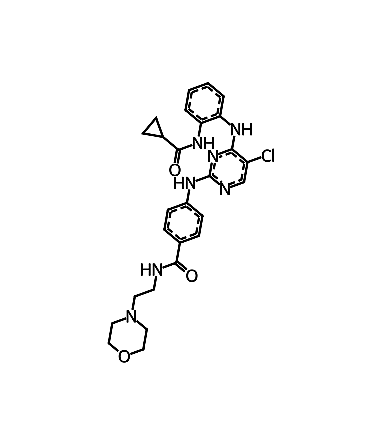 O=C(NCCN1CCOCC1)c1ccc(Nc2ncc(Cl)c(Nc3ccccc3NC(=O)C3CC3)n2)cc1